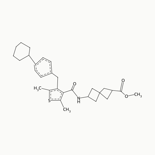 COC(=O)C1CC2(CC(NC(=O)c3c(C)sc(C)c3Cc3ccc(C4CCCCC4)cc3)C2)C1